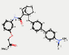 COC(=O)COc1cccc(NC(=O)C2CC3CCC2(Cc2ccc(-c4ccc(N(C)C)cc4)cc2)C3)c1